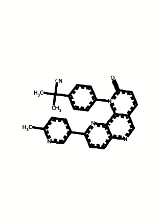 Cc1ccc(-c2ccc3ncc4ccc(=O)n(-c5ccc(C(C)(C)C#N)cc5)c4c3n2)cn1